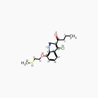 CCCC(=O)c1cnc2c(OCCSC)cccc2c1Cl